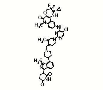 C[C@H]1CN(c2ncc(Cl)c(Nc3ccc4c(c3)c3c(c(=O)n4C)OCC(F)(F)[C@H](C4CC4)N3)n2)CC[C@H]1CN1CCC(c2cccc3c(C4CCC(=O)NC4=O)nn(C)c23)CC1